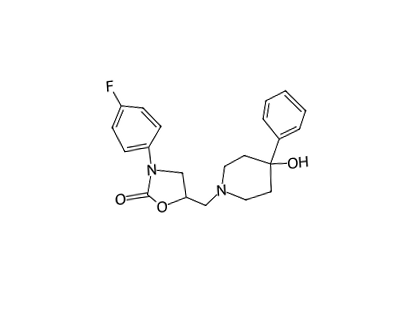 O=C1OC(CN2CCC(O)(c3ccccc3)CC2)CN1c1ccc(F)cc1